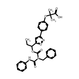 CCC(OC(=O)N(Cc1ccccc1)C(=O)Nc1ccccc1)c1cc(-c2ccc(OC(C)(C)C(=O)O)cc2)no1